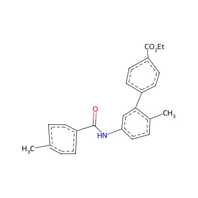 CCOC(=O)c1ccc(-c2cc(NC(=O)c3ccc(C)cc3)ccc2C)cc1